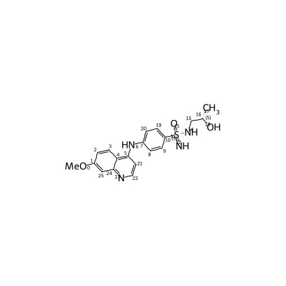 COc1ccc2c(Nc3ccc([S@](=N)(=O)NC[C@H](C)O)cc3)ccnc2c1